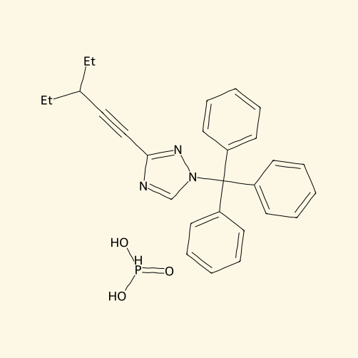 CCC(C#Cc1ncn(C(c2ccccc2)(c2ccccc2)c2ccccc2)n1)CC.O=[PH](O)O